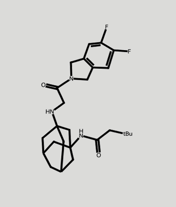 CC(C)(C)CC(=O)NC12CC3CC(CC(NCC(=O)N4Cc5cc(F)c(F)cc5C4)(C3)C1)C2